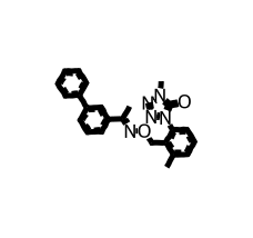 CC(=NOCc1c(C)cccc1-n1nnn(C)c1=O)c1cccc(-c2ccccc2)c1